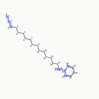 [N-]=[N+]=NCCCCCCCCCCCCCNc1ncccn1